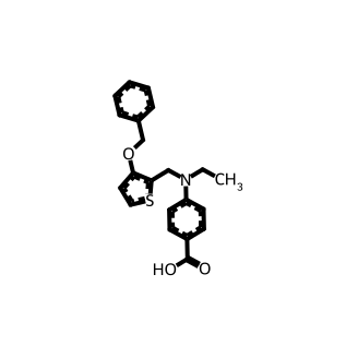 CCN(Cc1sccc1OCc1ccccc1)c1ccc(C(=O)O)cc1